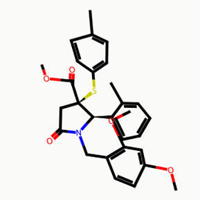 COC(=O)[C@@]1(Sc2ccc(C)cc2)CC(=O)N(Cc2ccc(OC)cc2OC)[C@@H]1c1ccccc1C